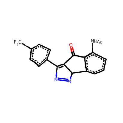 CC(=O)Nc1cccc2c1C(=O)C1=C(c3ccc(C(F)(F)F)cc3)N=NC12